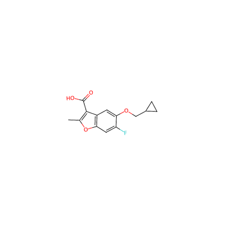 Cc1oc2cc(F)c(OCC3CC3)cc2c1C(=O)O